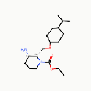 CCOC(=O)N1CCC[C@H](N)[C@@H]1COC1CCC(C(C)C)CC1